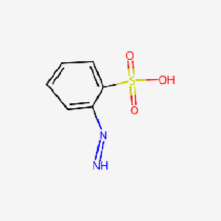 N=Nc1ccccc1S(=O)(=O)O